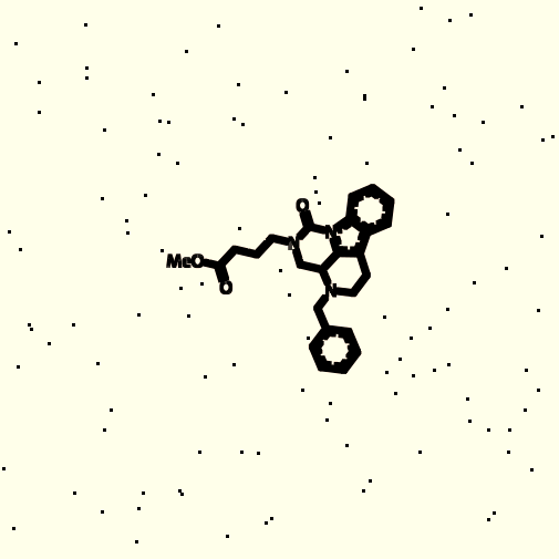 COC(=O)CCCN1CC2c3c(c4ccccc4n3C1=O)CCN2Cc1ccccc1